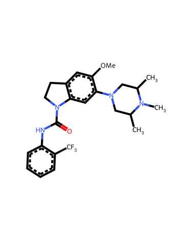 COc1cc2c(cc1N1CC(C)N(C)C(C)C1)N(C(=O)Nc1ccccc1C(F)(F)F)CC2